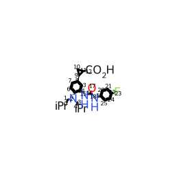 CC(C)CN(CC(C)C)c1ccc([C@H]2C[C@H]2C(=O)O)cc1NC(=O)Nc1ccc(F)cc1